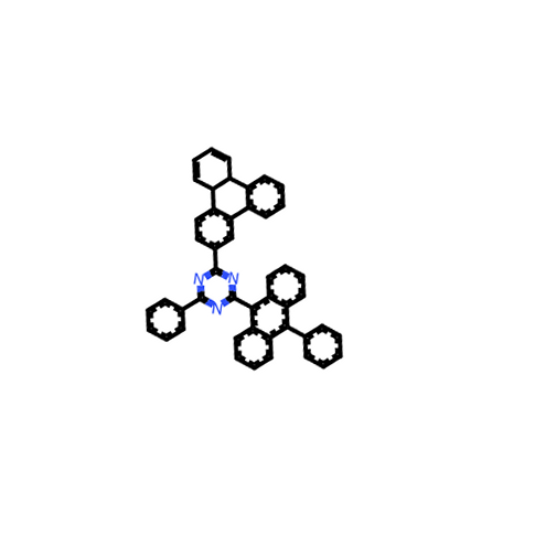 C1=CC2c3ccccc3-c3cc(-c4nc(-c5ccccc5)nc(-c5c6ccccc6c(-c6ccccc6)c6ccccc56)n4)ccc3C2C=C1